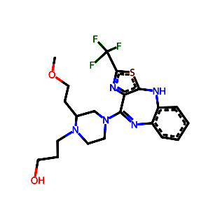 COCCC1CN(C2=Nc3ccccc3Nc3sc(C(F)(F)F)nc32)CCN1CCCO